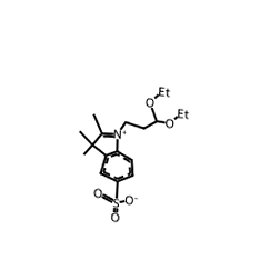 CCOC(CC[N+]1=C(C)C(C)(C)c2cc(S(=O)(=O)[O-])ccc21)OCC